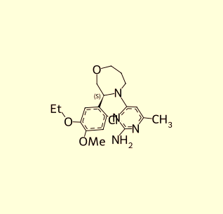 CCOc1cc([C@H]2COCCCN2c2cc(C)nc(N)n2)c(Cl)cc1OC